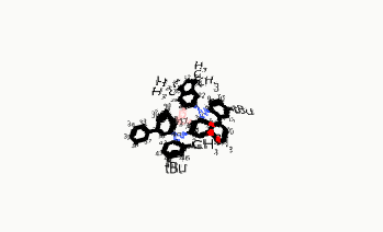 Cc1cc2c3c(c1)N(c1ccc(C(C)(C)C)cc1-c1ccccc1)c1cc4c(cc1B3c1ccc(-c3ccccc3)cc1N2c1ccc(C(C)(C)C)cc1C)C(C)(C)CC4(C)C